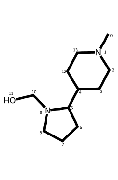 CN1CCC(C2CCCN2CO)CC1